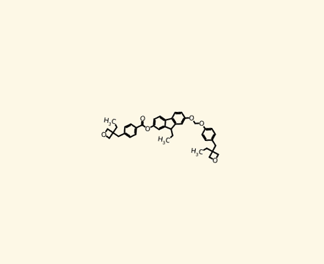 CCC1c2cc(OCOc3ccc(CC4(CC)COC4)cc3)ccc2-c2ccc(OC(=O)c3ccc(CC4(CC)COC4)cc3)cc21